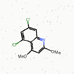 COc1cc(OC)c2c(Cl)cc(Cl)cc2n1